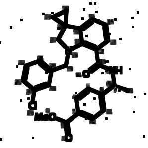 COC(=O)c1ccc([C@H](C)NC(=O)c2cccc3c2N(Cc2cccc(Cl)c2)CC32CC2)cc1